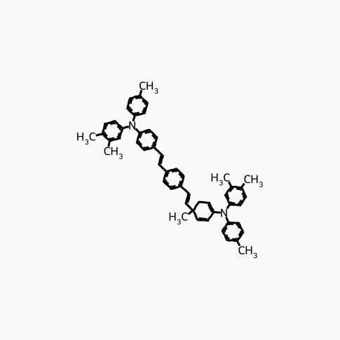 Cc1ccc(N(C2=CCC(C)(C=Cc3ccc(C=Cc4ccc(N(c5ccc(C)cc5)c5ccc(C)c(C)c5)cc4)cc3)C=C2)c2ccc(C)c(C)c2)cc1